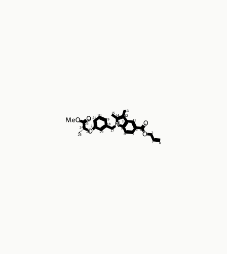 C=CCOC(=O)c1ccc2c(c1)c(C)c(C)n2Cc1cccc(O[C@H](C)C(=O)OC)c1